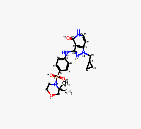 CC1(C)COCCN1S(=O)(=O)c1ccc(Nc2nn(CC3CC3)c3cc[nH]c(=O)c23)cc1